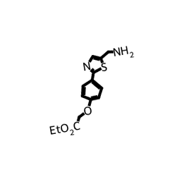 CCOC(=O)COc1ccc(-c2ncc(CN)s2)cc1